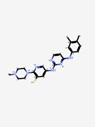 Cc1ccc(Nc2ccnc(Nc3cnc(N4CCN(C)CC4)c(F)c3)n2)cc1C